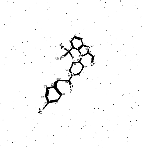 O=CC1Nc2cccc(C(F)(F)F)c2N1C1CCN(C(=O)Cc2ccc(Br)cc2)CC1